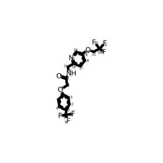 O=C(COc1ccc(C(F)(F)F)cc1)NCc1ccc(OCC(F)(F)F)cn1